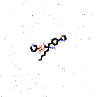 NC(CCCCCF)(Cc1ccc(-c2nccs2)cc1)C(=O)OS(=O)(=O)c1cccnc1